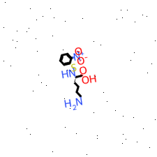 NCCCC[C@H](NSc1ccccc1[N+](=O)[O-])C(=O)O